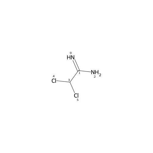 N=C(N)C(Cl)Cl